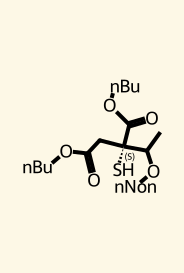 CCCCCCCCCOC(C)[C@@](S)(CC(=O)OCCCC)C(=O)OCCCC